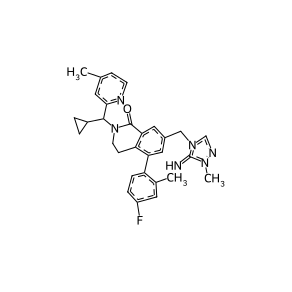 Cc1ccnc(C(C2CC2)N2CCc3c(cc(Cn4cnn(C)c4=N)cc3-c3ccc(F)cc3C)C2=O)c1